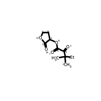 CCC(C)(C)C(=O)C(=O)OC1CCOC1=O